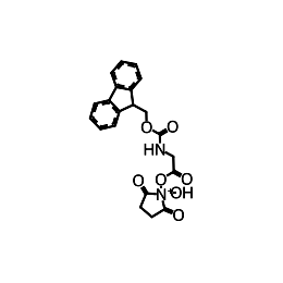 O=C(CNC(=O)OCC1c2ccccc2-c2ccccc21)O[N+]1(O)C(=O)CCC1=O